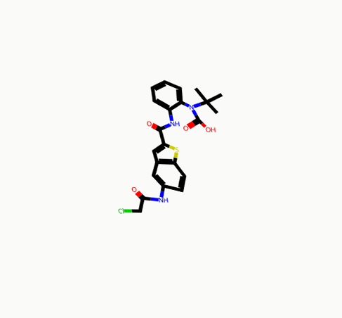 CC(C)(C)N(C(=O)O)c1ccccc1NC(=O)c1cc2cc(NC(=O)CCl)ccc2s1